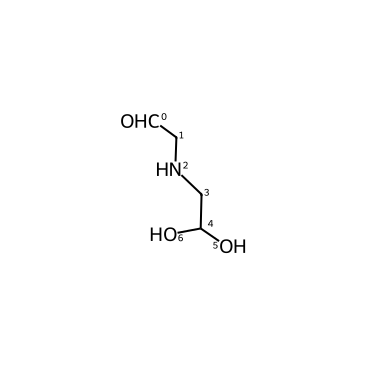 O=CCNCC(O)O